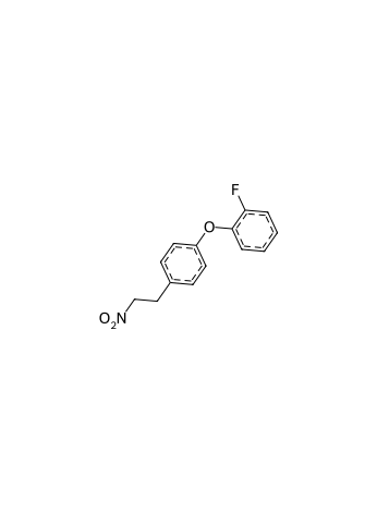 O=[N+]([O-])CCc1ccc(Oc2ccccc2F)cc1